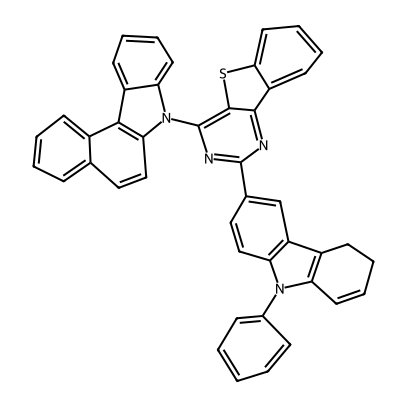 C1=Cc2c(c3cc(-c4nc(-n5c6ccccc6c6c7ccccc7ccc65)c5sc6ccccc6c5n4)ccc3n2-c2ccccc2)CC1